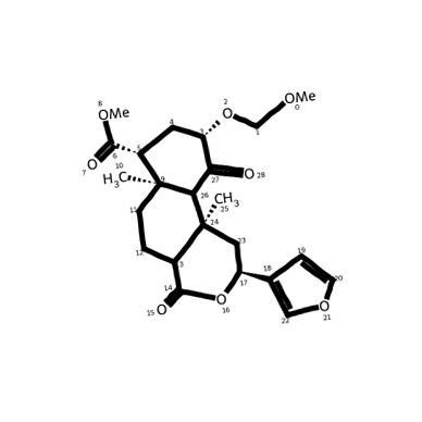 COCO[C@H]1C[C@@H](C(=O)OC)[C@]2(C)CCC3C(=O)O[C@H](c4ccoc4)C[C@]3(C)C2C1=O